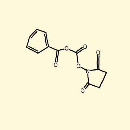 O=C(OC(=O)c1ccccc1)ON1C(=O)CCC1=O